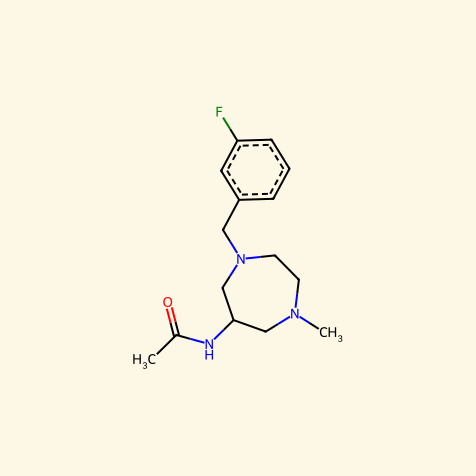 CC(=O)NC1CN(C)CCN(Cc2cccc(F)c2)C1